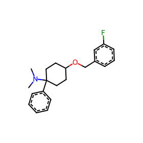 CN(C)C1(c2ccccc2)CCC(OCc2cccc(F)c2)CC1